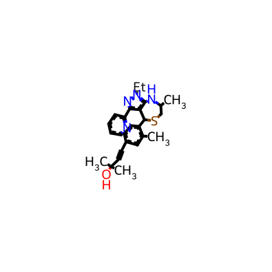 CCn1nc(-c2ccccn2)c2c1NC(C)CSC2c1ccc(C#CC(C)(C)O)cc1C